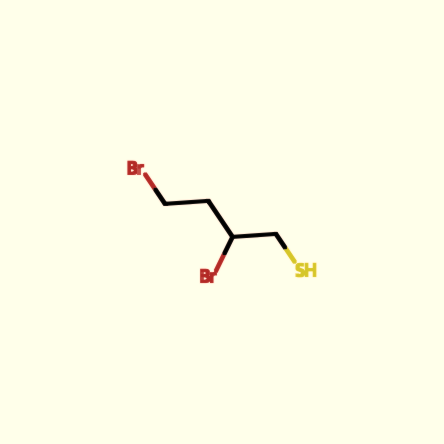 SCC(Br)CCBr